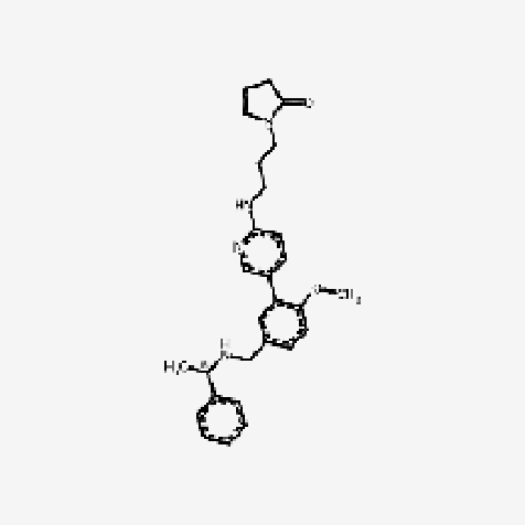 COc1ccc(CN[C@H](C)c2ccccc2)cc1-c1ccc(NCCCN2CCCC2=O)nc1